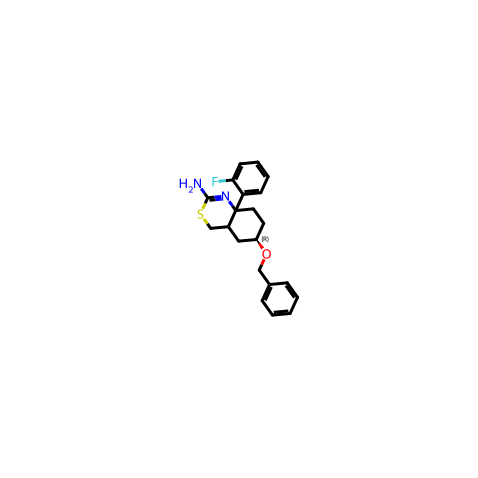 NC1=NC2(c3ccccc3F)CC[C@@H](OCc3ccccc3)CC2CS1